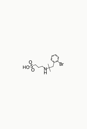 CC(C)(Cc1ccccc1Br)NCCCS(=O)(=O)O